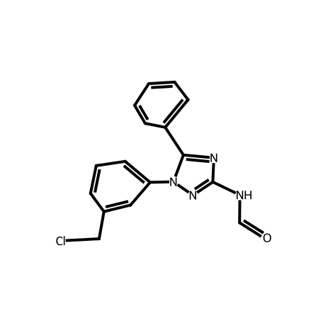 O=CNc1nc(-c2ccccc2)n(-c2cccc(CCl)c2)n1